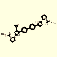 CC(C)(C)OC(=O)N1CCC[C@H]1c1ncc(-c2ccc(-c3ccc(-c4[nH]c([C@@H]5CCCN5C(=O)OC(C)(C)C)nc4C4CC4)cc3)cc2)[nH]1